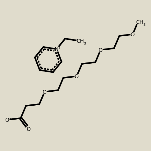 CC[n+]1ccccc1.COCCOCCOCCOCCC(=O)[O-]